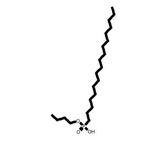 CCCCCCCCCCCCCCCCCCP(=O)(O)OCCCC